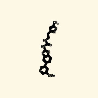 COc1cncc(-c2ccc3nc(NC(=O)NCCc4cc(C)on4)sc3c2)c1